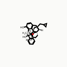 CO[C@]12CC[C@@]3(C[C@@H]1[C@@](C)(O)c1ccccc1)[C@H]1Cc4ccc(O)c5c4[C@@]3(CCN1CC1CC1)[C@H]2O5